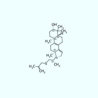 C=C(C)CSC[C@@H](C)[C@H]1CC=C2C3=C(CC[C@@]21C)[C@@]1(C)CC[C@H](O)C(C)(C)[C@@H]1CC3